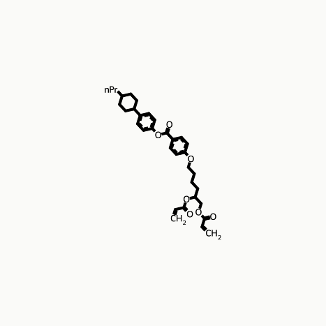 C=CC(=O)OCC(CCCCOc1ccc(C(=O)Oc2ccc(C3CCC(CCC)CC3)cc2)cc1)OC(=O)C=C